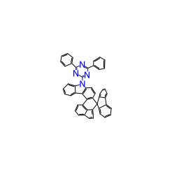 c1ccc(-c2nc(-c3ccccc3)nc(-n3c4ccccc4c4c5c(ccc43)C3(c4ccccc4-c4ccccc43)c3cccc4cccc-5c34)n2)cc1